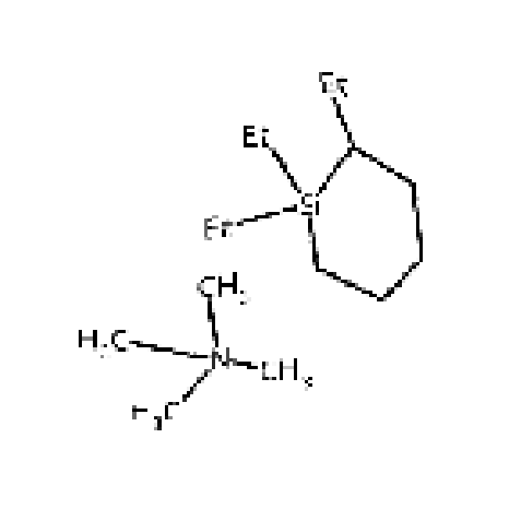 CCC1CCCC[Si]1(CC)CC.C[N+](C)(C)C